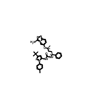 Cc1ccc(-n2nc(C(C)(C)C)cc2NC(=O)N[C@@H](CC[C@H](C)Oc2ccc3nnc(N)n3c2)c2ccccc2)cc1